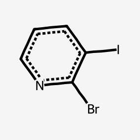 Brc1ncccc1I